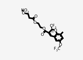 Cc1cc(OC(F)(F)F)cc2c1O[C@H](C(F)(F)F)C(C(=O)OCCOC(=O)CCO[N+](=O)[O-])=C2